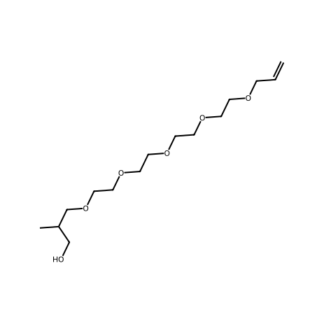 C=CCOCCOCCOCCOCCOCC(C)CO